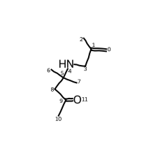 C=C(C)CNC(C)(C)CC(C)=O